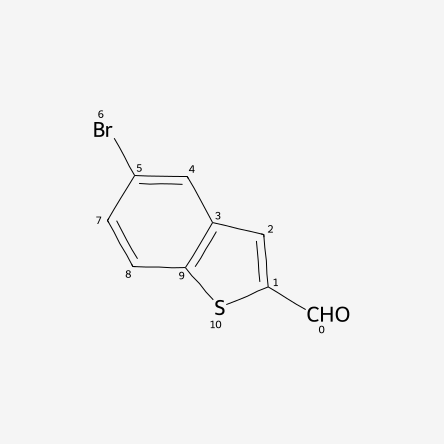 O=Cc1cc2cc(Br)ccc2s1